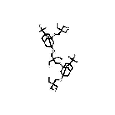 CCC1(COC23CC4CC(OCC(CC)(CO)COC56CC7CC(OCC8(CC)COC8)(C5)CC(C(F)(F)F)(C7)C6)(C2)CC(C(F)(F)F)(C4)C3)COC1